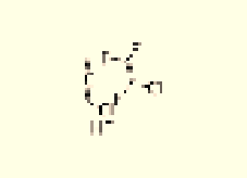 C=C=CCl.F.FC(F)=C(F)Cl